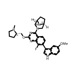 COc1ccc2[nH]cc(-c3ccc4c(N5C[C@H]6CC[C@@H](C5)N6)nc(OC[C@@H]5CCCN5C)nc4c3F)c2c1